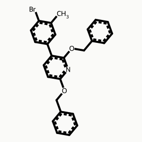 Cc1cc(-c2ccc(OCc3ccccc3)nc2OCc2ccccc2)ccc1Br